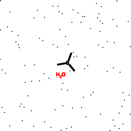 CB(C)C.O